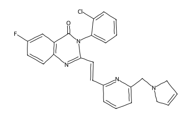 O=c1c2cc(F)ccc2nc(C=Cc2cccc(CN3CC=CC3)n2)n1-c1ccccc1Cl